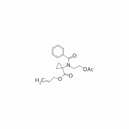 C=CCOC(=O)C1(N(CCOC(C)=O)C(=O)c2ccccc2)CC1